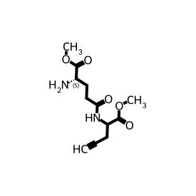 C#CCC(NC(=O)CC[C@H](N)C(=O)OC)C(=O)OC